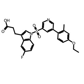 CCOc1ccc(-c2cncc(S(=O)(=O)n3cc(CCC(=O)O)c4cc(F)ccc43)c2)c(C)c1